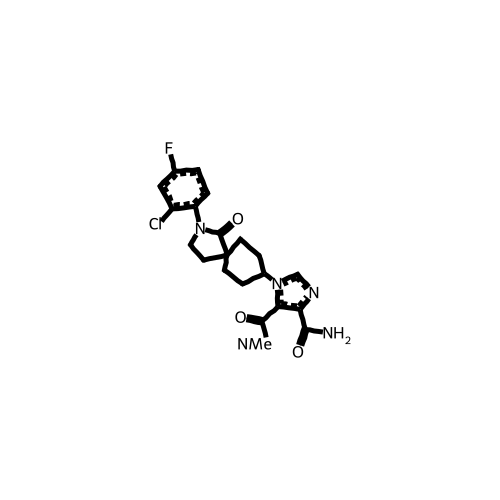 CNC(=O)c1c(C(N)=O)ncn1C1CCC2(CC1)CCN(c1ccc(F)cc1Cl)C2=O